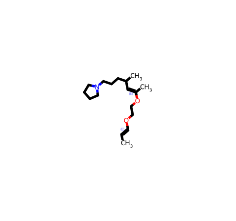 C/C=C/OCCO/C(C)=C/C(C)CCCN1CCCC1